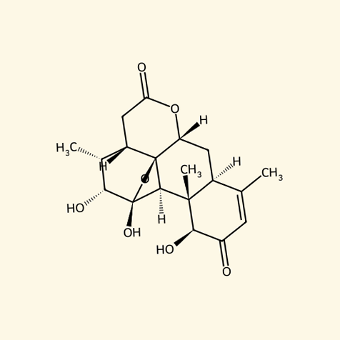 CC1=CC(=O)[C@@H](O)[C@]2(C)[C@H]3[C@@]4(O)OC[C@@]35[C@@H](C[C@@H]12)OC(=O)C[C@H]5[C@@H](C)[C@H]4O